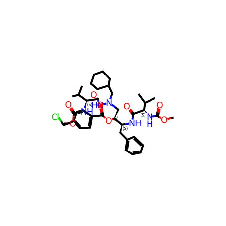 COC(=O)N[C@H](C(=O)N[C@@H](Cc1ccccc1)[C@H](CN(CC1CCCCC1)NC(=O)[C@@H](NC(=O)OC)C(C)C)OC(=O)c1ccc(CCl)cc1)C(C)C